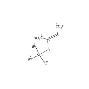 CC(C)[Si](C/C(=C/C(=O)O)C(=O)O)(C(C)C)C(C)C